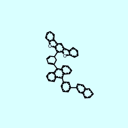 C1=CC(c2c3oc4ccccc4c3cc3c2oc2ccccc23)CC(c2c3ccccc3c(-c3cccc(-c4ccc5ccccc5c4)c3)c3ccccc23)=C1